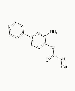 CC(C)(C)NC(=O)Oc1ccc(-c2ccncc2)cc1N